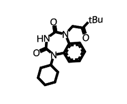 CC(C)(C)C(=O)CN1C(=O)NC(=O)N(C2CCCCC2)c2ccccc21